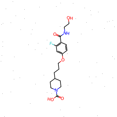 O=C(NCCO)c1ccc(OCCCC2CCN(C(=O)O)CC2)cc1F